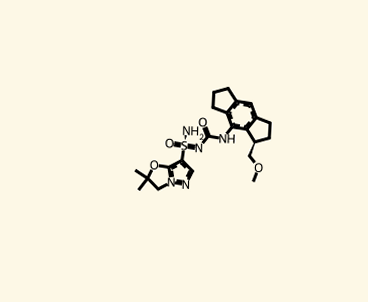 COC[C@@H]1CCc2cc3c(c(NC(=O)N=[S@](N)(=O)c4cnn5c4OC(C)(C)C5)c21)CCC3